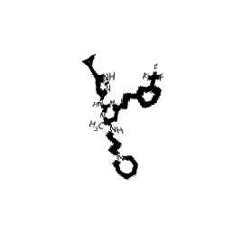 CC1(NCCCN2CCCCCC2)CC(/C=C/c2cccc(C(F)(F)F)c2)=NC(Nc2cc(C3CC3)[nH]n2)=N1